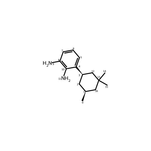 C[C@H]1C[C@@H](c2cccc(N)c2N)CC(C)(C)C1